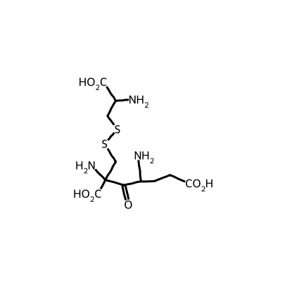 NC(CSSCC(N)(C(=O)O)C(=O)C(N)CCC(=O)O)C(=O)O